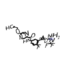 C#CCOc1cnc(C(=O)Nc2ccc(F)c([C@H]3C[C@H]3O/C(N)=N\C(F)F)c2)cn1